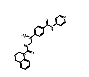 N[C@H](CNC(=O)[C@@H]1CCCc2ccccc21)c1ccc(C(=O)Nc2ccncc2)cc1